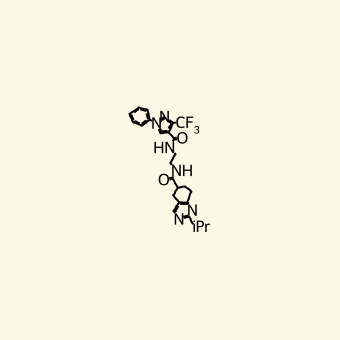 CC(C)c1ncc2c(n1)CCC(C(=O)NCCNC(=O)c1cn(-c3ccccc3)nc1C(F)(F)F)C2